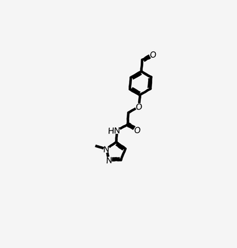 Cn1nccc1NC(=O)COc1ccc(C=O)cc1